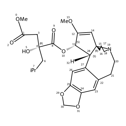 COC(=O)C[C@](O)(CC(C)C)C(=O)O[C@@H]1C(OC)=C[C@]23CCCN2CCc2cc4c(cc2[C@H]13)OCO4